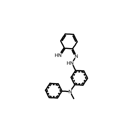 CN(c1ccccc1)c1cccc(N/N=C2/C=CC=CC2=N)c1